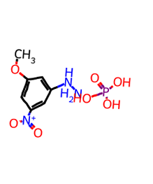 COc1cc(NN)cc([N+](=O)[O-])c1.O=P(O)(O)O